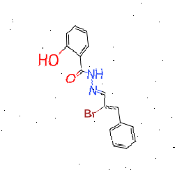 O=C(N/N=C/C(Br)=C/c1ccccc1)c1ccccc1O